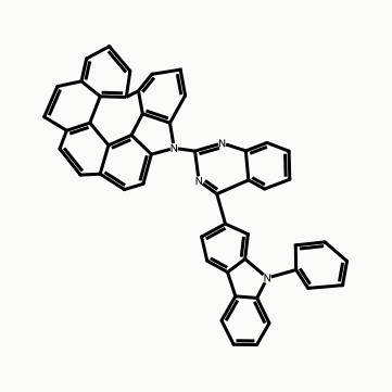 c1ccc(-n2c3ccccc3c3ccc(-c4nc(-n5c6cccc7c6c6c8c(ccc9ccc%10cccc-7c%10c98)ccc65)nc5ccccc45)cc32)cc1